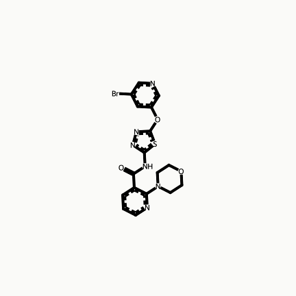 O=C(Nc1nnc(Oc2cncc(Br)c2)s1)c1cccnc1N1CCOCC1